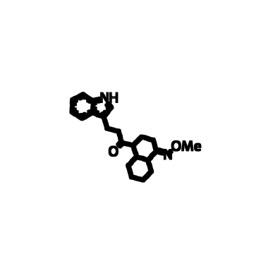 CO/N=C1\CCC(C(=O)CCc2c[nH]c3ccccc23)C2CCCCC12